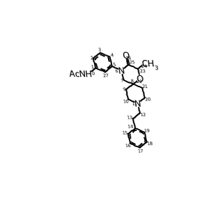 CC(=O)Nc1cccc(N2CC3(CCN(CCc4ccccc4)CC3)OC(C)C2=O)c1